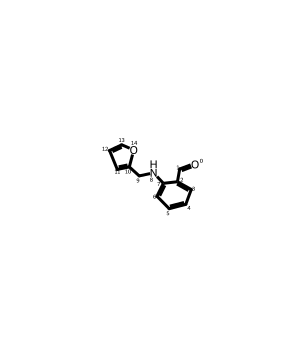 O=Cc1ccccc1NCc1ccco1